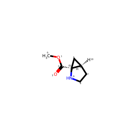 COC(=O)[C@]12C[C@H]1CCN2